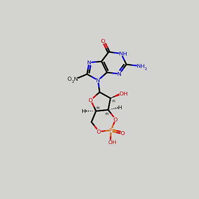 Nc1nc2c(nc([N+](=O)[O-])n2C2O[C@@H]3COP(=O)(O)O[C@@H]3[C@@H]2O)c(=O)[nH]1